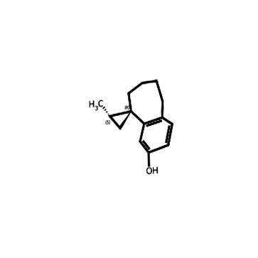 C[C@H]1C[C@]12CCCCc1ccc(O)cc12